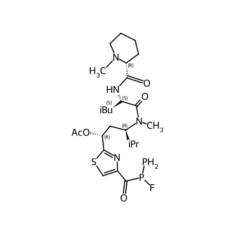 CC[C@H](C)[C@H](NC(=O)[C@H]1CCCCN1C)C(=O)N(C)[C@H](C[C@@H](OC(C)=O)c1nc(C(=O)P(F)P)cs1)C(C)C